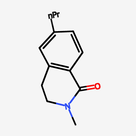 CCCc1ccc2c(c1)CCN(C)C2=O